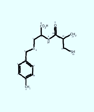 Cc1ccc(CSCC(NC(=O)C(C)CS)C(=O)O)cc1